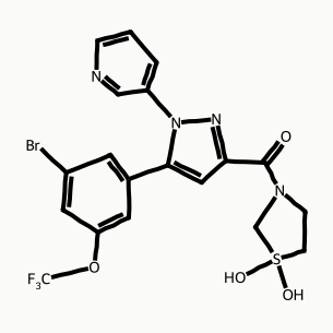 O=C(c1cc(-c2cc(Br)cc(OC(F)(F)F)c2)n(-c2cccnc2)n1)N1CCS(O)(O)C1